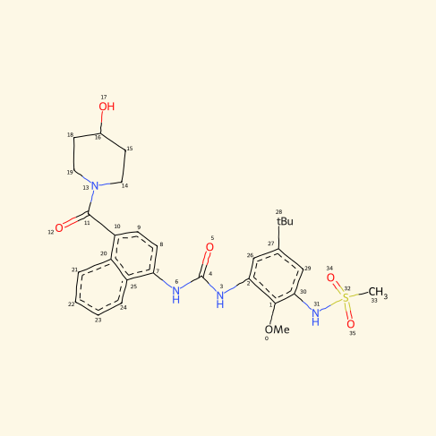 COc1c(NC(=O)Nc2ccc(C(=O)N3CCC(O)CC3)c3ccccc23)cc(C(C)(C)C)cc1NS(C)(=O)=O